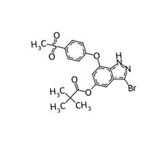 CC(C)(C)C(=O)Oc1cc(Oc2ccc(S(C)(=O)=O)cc2)c2[nH]nc(Br)c2c1